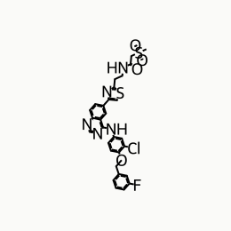 CS(=O)(=O)CC(=O)NCCc1nc(-c2ccc3ncnc(Nc4ccc(OCc5cccc(F)c5)c(Cl)c4)c3c2)cs1